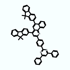 CC1(C)c2ccccc2-c2ccc(-c3cc4c(-c5ccc6c(c5)C(C)(C)c5ccccc5-6)cc(-c5ccc(-c6nc(-c7ccccc7)cc(-c7ccccc7)n6)cc5)nc4c4ccccc34)cc21